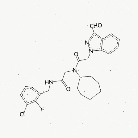 O=Cc1nn(CC(=O)N(CC(=O)NCc2cccc(Cl)c2F)C2CCCCCC2)c2ccccc12